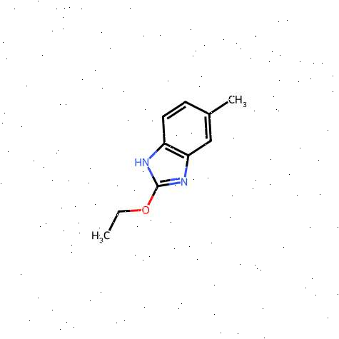 CCOc1nc2cc(C)ccc2[nH]1